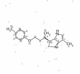 CC1=CNC2C1=NC[C@H]2N(C)CCOc1ccc(C)cc1